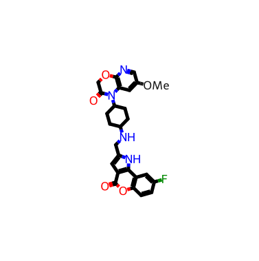 COc1cnc2c(c1)N(C1CCC(NCc3cc4c(=O)oc5ccc(F)cc5c4[nH]3)CC1)C(=O)CO2